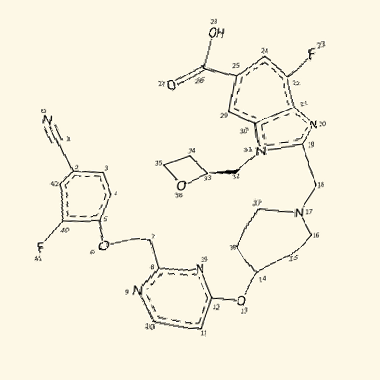 N#Cc1ccc(OCc2nccc(OC3CCN(Cc4nc5c(F)cc(C(=O)O)cc5n4C[C@@H]4CCO4)CC3)n2)c(F)c1